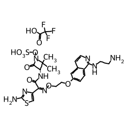 CC1(C)[C@H](NC(=O)/C(=N\OCCOc2ccc3c(NCCN)nccc3c2)c2csc(N)n2)C(=O)N1OS(=O)(=O)O.O=C(O)C(F)(F)F